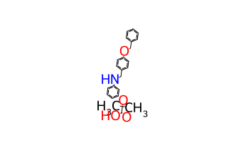 CC(C)(Oc1cccc(NCc2ccc(OCc3ccccc3)cc2)c1)C(=O)O